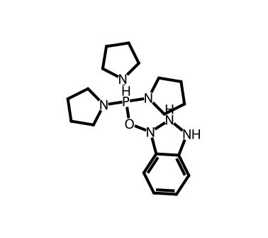 c1ccc2c(c1)NNN2O[PH](N1CCCC1)(N1CCCC1)N1CCCC1